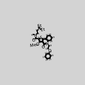 CCN(CC)CCN(C)C(=O)c1sc2c(c1OC)c(=O)n(CCOc1ccccc1)c1ccccc21